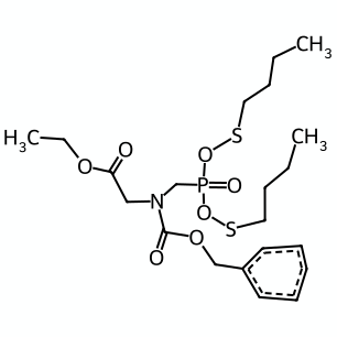 CCCCSOP(=O)(CN(CC(=O)OCC)C(=O)OCc1ccccc1)OSCCCC